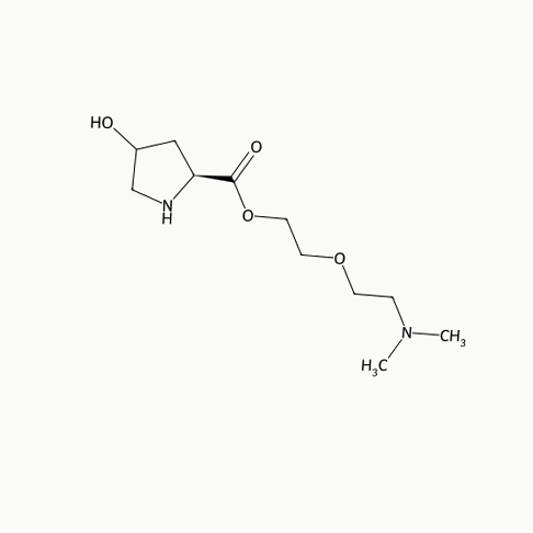 CN(C)CCOCCOC(=O)[C@@H]1CC(O)CN1